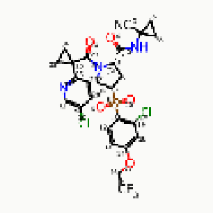 N#CC1(NC(=O)[C@@H]2C[C@@H](S(=O)(=O)c3ccc(OCC(F)(F)F)cc3Cl)CN2C(=O)C2(c3ccc(Cl)cn3)CC2)CC1